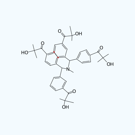 CN(C(c1ccc(C(=O)C(C)(C)O)cc1)c1cccc(C(=O)C(C)(C)O)c1)C(c1ccc(C(=O)C(C)(C)O)cc1)c1cccc(C(=O)C(C)(C)O)c1